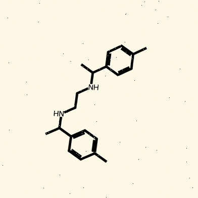 Cc1ccc(C(C)NCCNC(C)c2ccc(C)cc2)cc1